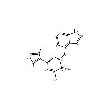 Cc1noc(C)c1-c1cc(C)c(=O)n(Cc2cccc3[nH]ccc23)c1